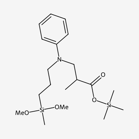 CO[Si](C)(CCCN(CC(C)C(=O)O[Si](C)(C)C)c1ccccc1)OC